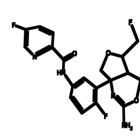 NC1=NC2(c3cc(NC(=O)c4ccc(F)cn4)ccc3F)COC(CF)C2CO1